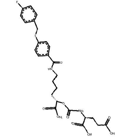 O=C(O)CC[C@H](NC(=O)O[C@@H](CCCCNC(=O)c1ccc(SCc2ccc(F)cc2)cc1)C(=O)O)C(=O)O